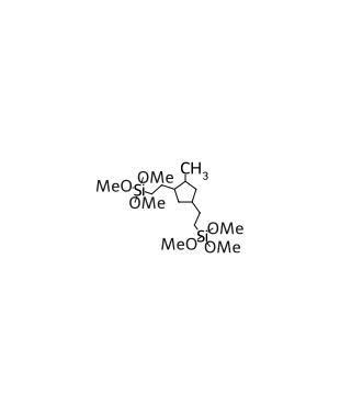 CO[Si](CCC1CC(C)C(CC[Si](OC)(OC)OC)C1)(OC)OC